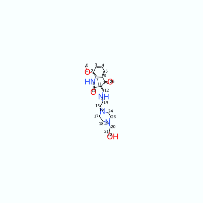 COc1cccc2c1NC(=O)C(=CNCCN1CCN(CCO)CC1)C2=O